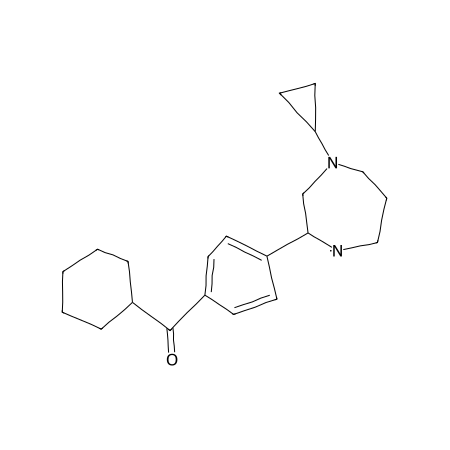 O=C(c1ccc(C2CN(C3CC3)CCC[N]2)cc1)C1CCCCC1